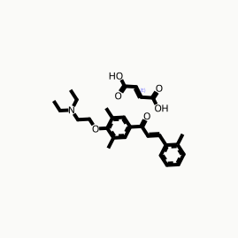 CCN(CC)CCOc1c(C)cc(C(=O)C=Cc2ccccc2C)cc1C.O=C(O)/C=C/C(=O)O